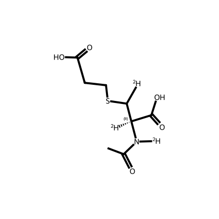 [2H]C(SCCC(=O)O)[C@@]([2H])(C(=O)O)N([2H])C(C)=O